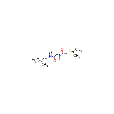 CC(C)CCNC(=O)CNC(=O)CSC(C)C